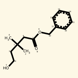 CC(C)(CCO)CC(=O)OCc1ccccc1